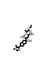 CCOC(=O)C(C)OC(=N)/C=C(\NC)C1(O)CC2CC(c3ncn(C)c3C)CC2C1